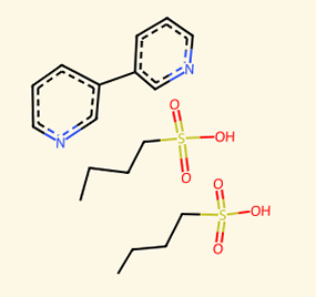 CCCCS(=O)(=O)O.CCCCS(=O)(=O)O.c1cncc(-c2cccnc2)c1